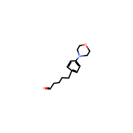 O=CCCCCc1ccc(N2CCOCC2)cc1